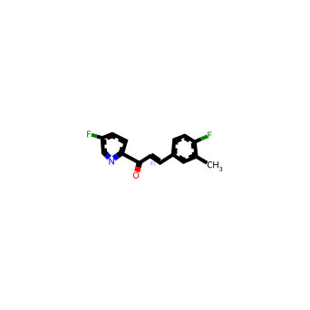 Cc1cc(/C=C/C(=O)c2ccc(F)cn2)ccc1F